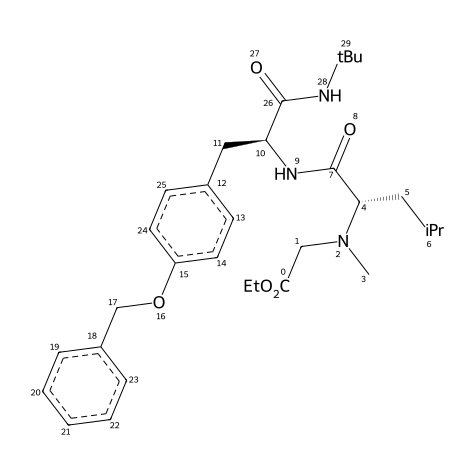 CCOC(=O)CN(C)[C@@H](CC(C)C)C(=O)N[C@@H](Cc1ccc(OCc2ccccc2)cc1)C(=O)NC(C)(C)C